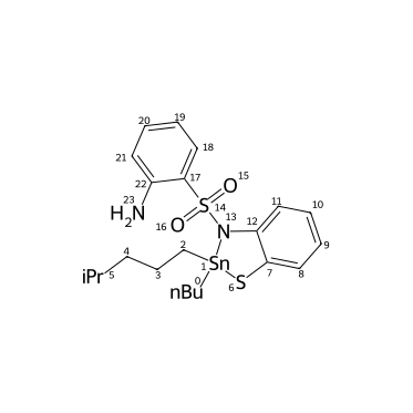 CCC[CH2][Sn]1([CH2]CCC(C)C)[S]c2ccccc2[N]1S(=O)(=O)c1ccccc1N